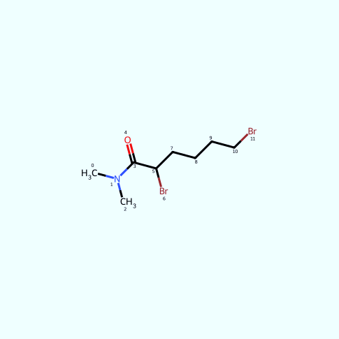 CN(C)C(=O)C(Br)CCCCBr